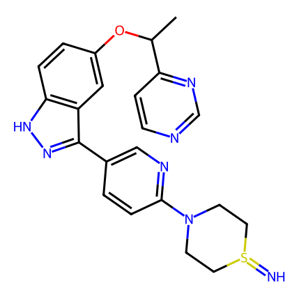 CC(Oc1ccc2[nH]nc(-c3ccc(N4CCS(=N)CC4)nc3)c2c1)c1ccncn1